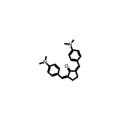 CN(C)c1ccc(C=C2CCC(=Cc3ccc(N(C)C)cc3)C2=O)cc1